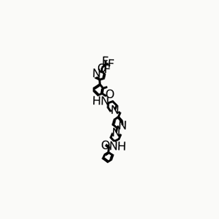 Cc1c(C(=O)NC2CCN(Cc3ccc(N4CCC(NC(=O)c5ccccc5)CC4)nc3)CC2)cccc1-c1ccc(OC(F)(F)F)nc1